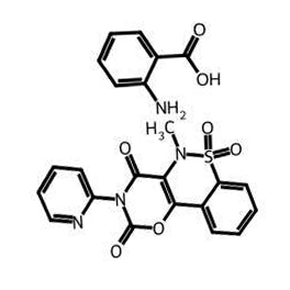 CN1c2c(oc(=O)n(-c3ccccn3)c2=O)-c2ccccc2S1(=O)=O.Nc1ccccc1C(=O)O